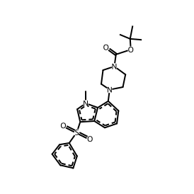 Cn1cc(S(=O)(=O)c2ccccc2)c2cccc(N3CCN(C(=O)OC(C)(C)C)CC3)c21